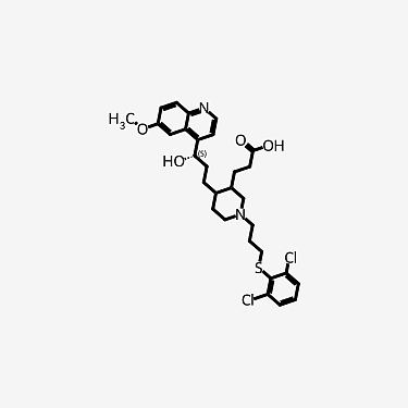 COc1ccc2nccc([C@@H](O)CCC3CCN(CCCSc4c(Cl)cccc4Cl)CC3CCC(=O)O)c2c1